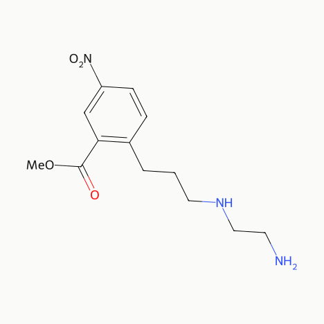 COC(=O)c1cc([N+](=O)[O-])ccc1CCCNCCN